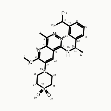 COc1nc2c(C)nnc(N[C@H](C)c3cccc(C(F)F)c3)c2cc1N1CCS(=O)(=O)CC1